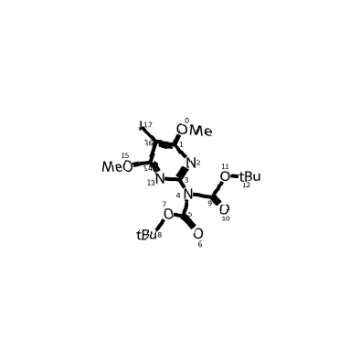 COc1nc(N(C(=O)OC(C)(C)C)C(=O)OC(C)(C)C)nc(OC)c1I